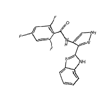 O=C(Nc1c[nH]nc1-c1nc2ccccc2[nH]1)c1c(F)cc(F)cc1F